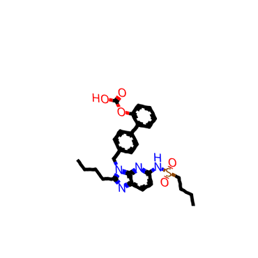 CCCCc1nc2ccc(NS(=O)(=O)CCCC)nc2n1Cc1ccc(-c2ccccc2OC(=O)O)cc1